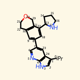 CC(C)c1c[nH]c2ncc(-c3cc4c(c(C5CCCN5)c3)COCC4)cc12